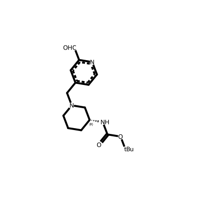 CC(C)(C)OC(=O)N[C@@H]1CCCN(Cc2ccnc(C=O)c2)C1